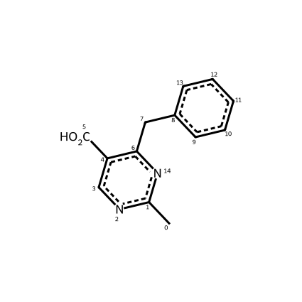 Cc1ncc(C(=O)O)c(Cc2ccccc2)n1